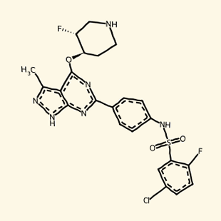 Cc1n[nH]c2nc(-c3ccc(NS(=O)(=O)c4cc(Cl)ccc4F)cc3)nc(O[C@@H]3CCNC[C@H]3F)c12